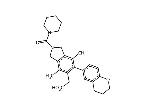 Cc1c2c(c(C)c(-c3ccc4c(c3)CCCO4)c1CC(=O)O)CN(C(=O)N1CCCCC1)C2